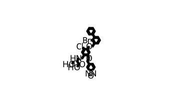 O=C(O)[C@H](CO)NCc1cc(Cl)c(OCc2cccc(-c3ccccc3)c2Br)cc1OCc1ccc2nonc2c1